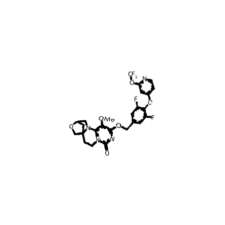 COc1c(OCc2cc(F)c(Oc3ccnc(OC(F)(F)F)c3)c(F)c2)nc(=O)n2c1N1CC3CC1(CC2)CO3